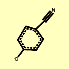 N#Cc1ccc([O])cc1